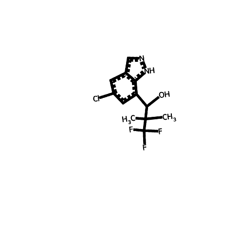 CC(C)(C(O)c1cc(Cl)cc2cn[nH]c12)C(F)(F)F